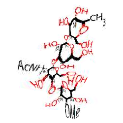 COC1[C@@H](O)C(CO)O[C@@H](O[C@@H]2C(CO)O[C@@H](OC3[C@@H](O)C(CO)O[C@@H](O[C@@H]4C(CO)OC(C)[C@@H](O)C4O)[C@H]3O)[C@@H](NC(C)=O)C2O)[C@H]1O